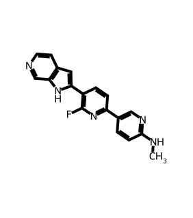 CNc1ccc(-c2ccc(-c3cc4ccncc4[nH]3)c(F)n2)cn1